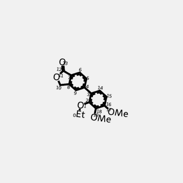 [CH2]COc1c(-c2ccc3c(c2)COC3=O)ccc(OC)c1OC